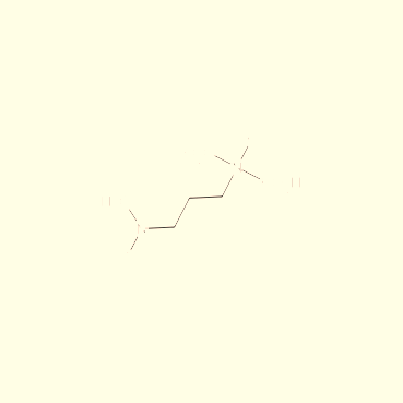 CN(C)CCC[N+](C)(C(=O)O)C(=O)O